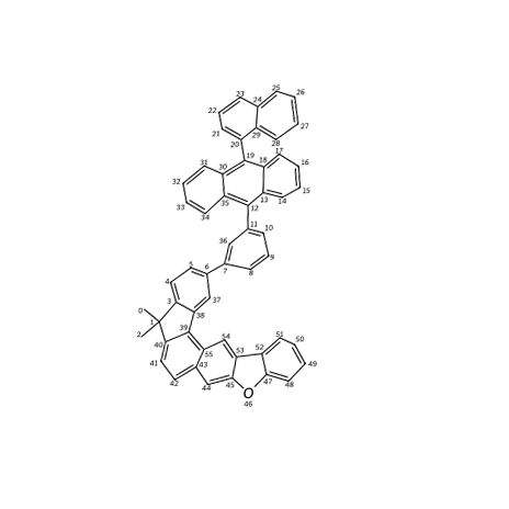 CC1(C)c2ccc(-c3cccc(-c4c5ccccc5c(-c5cccc6ccccc56)c5ccccc45)c3)cc2-c2c1ccc1cc3oc4ccccc4c3cc21